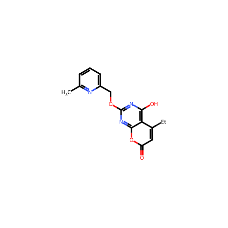 CCc1cc(=O)oc2nc(OCc3cccc(C)n3)nc(O)c12